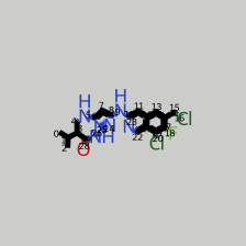 CC(C)C1CNc2cc(Nc3cc4cc(CCl)c(F)c(Cl)c4cn3)nn2NC1=O